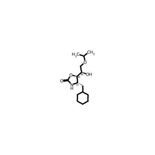 CC(C)OC[C@@H](O)[C@@H]1OC(=O)N[C@H]1CC1CCCCC1